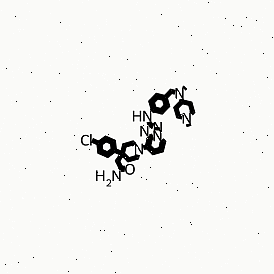 CN1CCC(N(C)Cc2ccc(Nc3nc4c(N5CCC(CC(N)=O)(c6ccc(Cl)cc6)CC5)cccn4n3)cc2)CC1